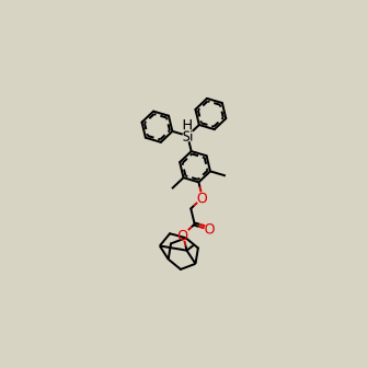 Cc1cc([SiH](c2ccccc2)c2ccccc2)cc(C)c1OCC(=O)OC1(C)C2CC3CC(C2)C1C3